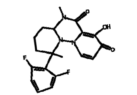 CN1C(=O)c2c(O)c(=O)ccn2N2C1CCCC2(C)c1c(F)cccc1F